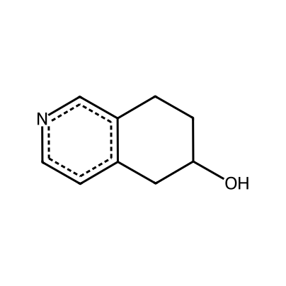 OC1CCc2cnccc2C1